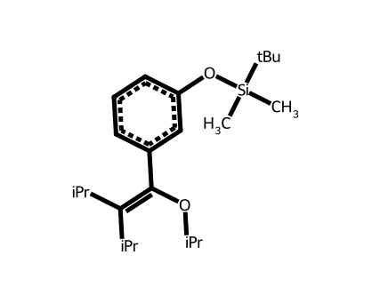 CC(C)OC(=C(C(C)C)C(C)C)c1cccc(O[Si](C)(C)C(C)(C)C)c1